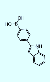 OB(O)c1ccc(-c2cc3ccccc3[nH]2)cc1